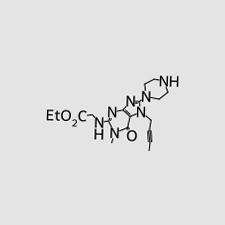 CC#CCn1c(N2CCNCC2)nc2nc(NCC(=O)OCC)n(C)c(=O)c21